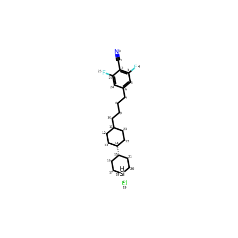 N#Cc1c(F)cc(CCCCC2CCC([C@H]3CC[Si@H](Cl)CC3)CC2)cc1F